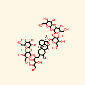 C=C1CC2CCC3[C@](C)(C(=O)OC4OC(CO)C(O)C(O)C4OC4OC(CO)C(O)C(O)C4OC4CC(O)C(O)C(CO)O4)CCC[C@@]3(C)[C@@H]2CCC1CC(OC1OC(CO)C(O)C(O)C1OC1OC(CO)C(O)C(O)C1O)C(O)C(O)C(O)CO